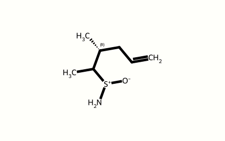 C=CC[C@@H](C)C(C)[S+](N)[O-]